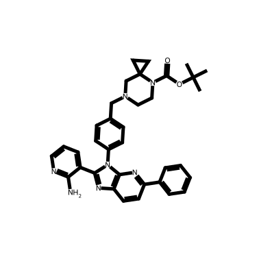 CC(C)(C)OC(=O)N1CCN(Cc2ccc(-n3c(-c4cccnc4N)nc4ccc(-c5ccccc5)nc43)cc2)CC12CC2